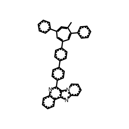 CC1=C=C(c2ccccc2)C=C(c2ccc(-c3ccc(-c4nc5ccccc5c5nc6ccccn6c45)cc3)cc2)C=C1c1ccccc1